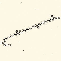 CCCCCCC(O)C/C=C\CCCCCCCC(=O)OCCCCCCCCCCOC(=O)CCCCCCC/C=C/CC(O)CCCCCC